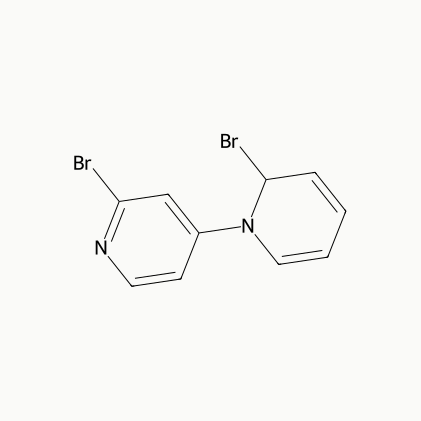 Brc1cc(N2C=CC=CC2Br)ccn1